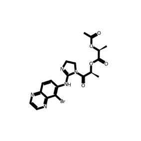 CC(=O)O[C@@H](C)C(=O)O[C@@H](C)C(=O)N1CCN=C1Nc1ccc2nccnc2c1Br